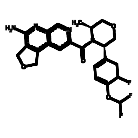 C[C@@H]1COC[C@H](C2=CC=C(OC(F)F)C(F)C2)N1C(=O)c1cc2c3c(c(N)nc2cn1)COC3